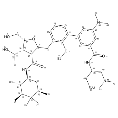 CCOc1c(CN2O[C@@H](CO)[C@@H]([C@H](C)O)[C@H]2C(=O)N[C@H]2C[C@@H](C)C(C)(C)[C@@H](C)[C@@H]2C)cccc1-c1cc(C(=O)N[C@H](CN(C)C)CC(C)(C)C)cc(N(C)C)c1